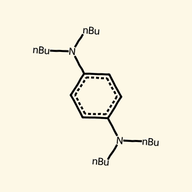 CCCCN(CCCC)c1ccc(N(CCCC)CCCC)cc1